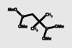 CO[Si](CC(C)(C)[Si](OC)OC)OC